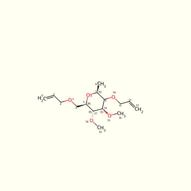 C=CCOC[C@H]1O[C@@H](C)C(OCC=C)[C@@H](OC)[C@@H]1OC